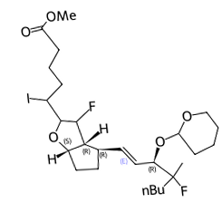 CCCCC(C)(F)[C@@H](/C=C/[C@H]1CC[C@@H]2OC(C(I)CCCC(=O)OC)C(F)[C@@H]21)OC1CCCCO1